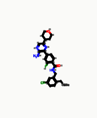 CNCc1ccc(Cl)cc1CNC(=O)c1ccc(-c2nc(C3CCOCC3)cnc2N)cc1F